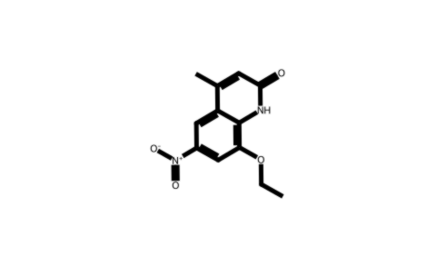 CCOc1cc([N+](=O)[O-])cc2c(C)cc(=O)[nH]c12